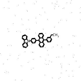 CCc1cccc(-c2c3ccccc3c(-c3ccc(-n4c5ccccc5c5ccccc54)cc3)c3ccccc23)c1